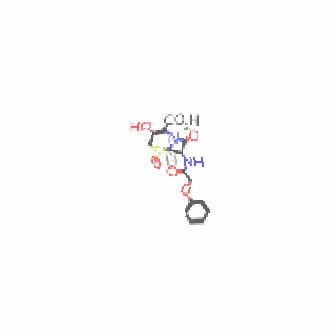 O=C(COc1ccccc1)NC1C(=O)N2C(C(=O)O)=C(O)C[S+]([O-])[C@H]12